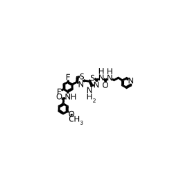 COc1cccc(C(=O)Nc2cc(-c3csc(-c4sc(NC(=O)NCCc5cccnc5)nc4N)n3)c(F)cc2F)c1